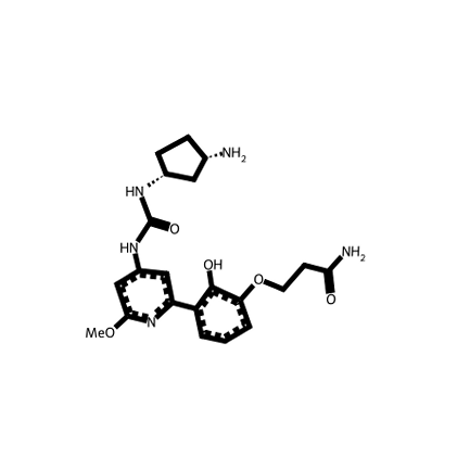 COc1cc(NC(=O)N[C@@H]2CC[C@H](N)C2)cc(-c2cccc(OCCC(N)=O)c2O)n1